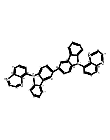 c1cc(-n2c3ccccc3c3cc(-c4ccc5c(c4)c4ccccc4n5-c4cccc5nccnc45)ccc32)c2nccnc2c1